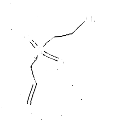 C=CCS(=O)(=O)CCC#N